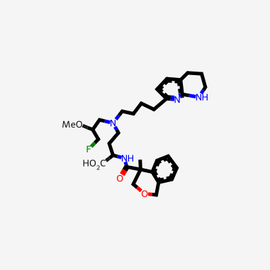 COC(CF)CN(CCCCc1ccc2c(n1)NCCC2)CCC(NC(=O)C1(C)COCc2ccccc21)C(=O)O